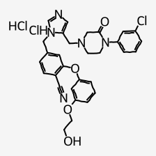 Cl.Cl.N#Cc1ccc(Cn2cncc2CN2CCN(c3cccc(Cl)c3)C(=O)C2)cc1Oc1cccc(OCCO)c1